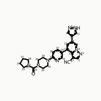 N#Cc1cnn2cc(-c3cn[nH]c3)cc(-c3ccc(N4CCN(C(=O)N5CCCC5)CC4)nc3)c12